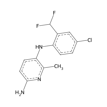 Cc1nc(N)ccc1Nc1ccc(Cl)cc1C(F)F